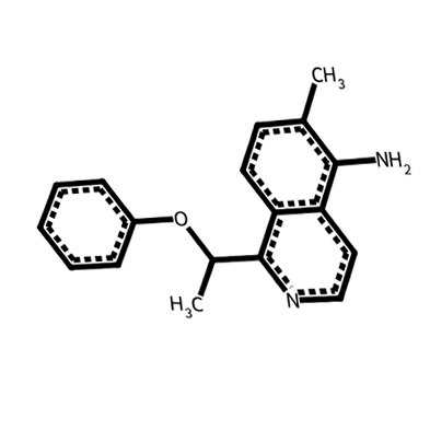 Cc1ccc2c(C(C)Oc3ccccc3)nccc2c1N